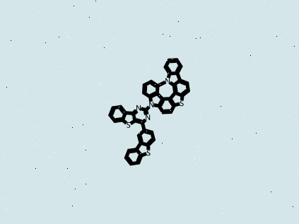 c1ccc2c(c1)sc1ccc(-c3nc(-n4c5ccc6sc7ccc8c9ccccc9n9c%10cccc4c%10c5c6c7c89)nc4c3sc3ccccc34)cc12